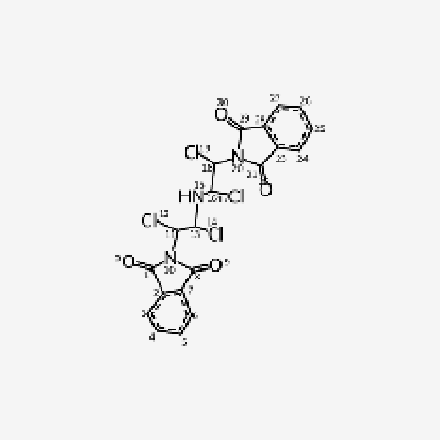 O=C1c2ccccc2C(=O)N1C(Cl)C(Cl)NC(Cl)C(Cl)N1C(=O)c2ccccc2C1=O